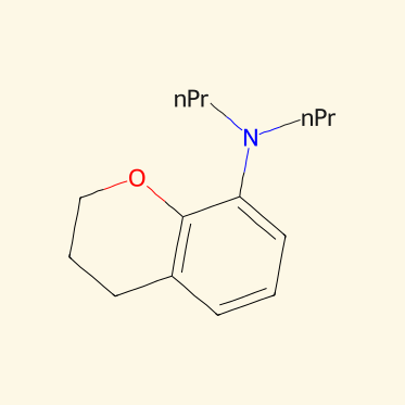 CCCN(CCC)c1cccc2c1OCCC2